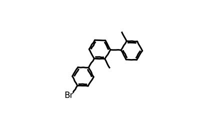 Cc1ccccc1-c1cccc(-c2ccc(Br)cc2)c1C